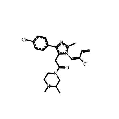 C=C/C(Cl)=C\n1c(C)nc(-c2ccc(Cl)cc2)c1CC(=O)N1CCN(C)C(C)C1